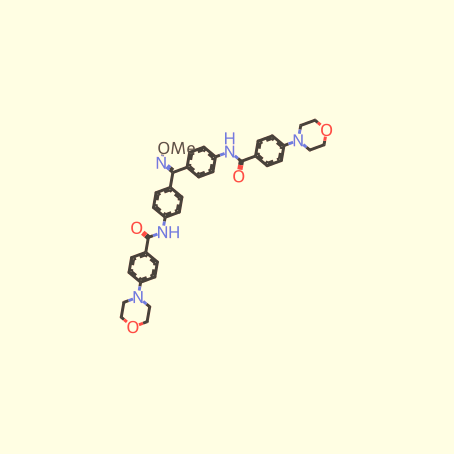 CON=C(c1ccc(NC(=O)c2ccc(N3CCOCC3)cc2)cc1)c1ccc(NC(=O)c2ccc(N3CCOCC3)cc2)cc1